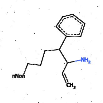 C=CC(N)C(CCCCCCCCCCCC)c1ccccc1